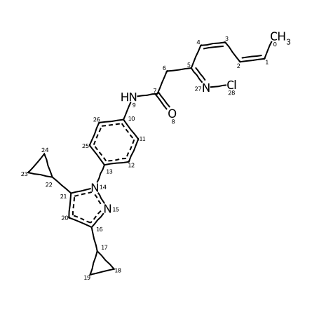 C/C=C\C=C/C(CC(=O)Nc1ccc(-n2nc(C3CC3)cc2C2CC2)cc1)=NCl